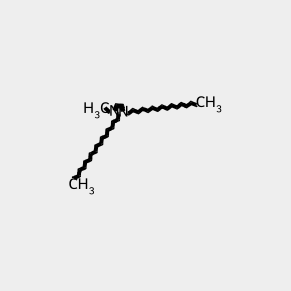 CCCCCCCCCCCCCCCCCc1n(CCCCCCCCCCCCCCCC)cc[n+]1CC